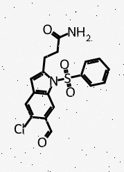 NC(=O)CCc1cc2cc(Cl)c(C=O)cc2n1S(=O)(=O)c1ccccc1